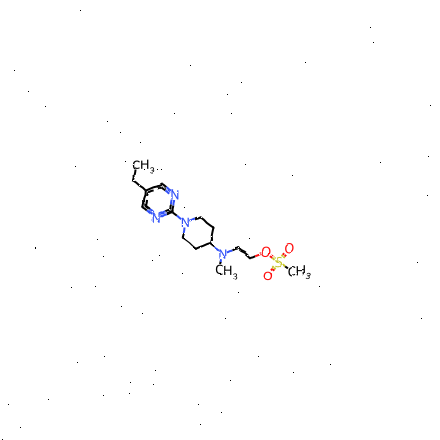 CCc1cnc(N2CCC(N(C)CCOS(C)(=O)=O)CC2)nc1